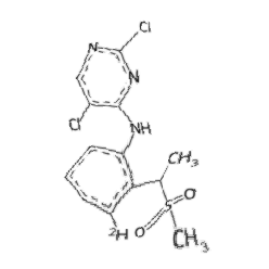 [2H]c1cccc(Nc2nc(Cl)ncc2Cl)c1C(C)S(C)(=O)=O